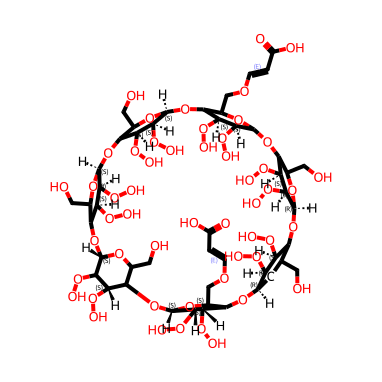 O=C(O)/C=C/OCC1O[C@H]2OC3C(CO)O[C@@H](OC4C(CO)O[C@@H](OC5C(CO)O[C@@H](OC6C(CO/C=C/C(=O)O)OC(OC7C(CO)O[C@@H](OC8C(CO)C[C@@H](OC1[C@H](OO)[C@@H]2OO)[C@@H](OO)[C@H]8OO)[C@@H](OO)[C@H]7OO)[C@@H](OO)[C@H]6OO)[C@@H](OO)[C@H]5OO)[C@@H](OO)[C@H]4OO)C(OO)[C@H]3OO